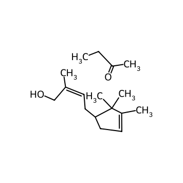 CC(=CCC1CC=C(C)C1(C)C)CO.CCC(C)=O